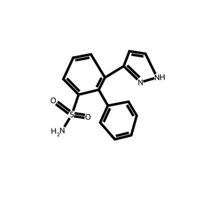 NS(=O)(=O)c1cccc(-c2cc[nH]n2)c1-c1ccccc1